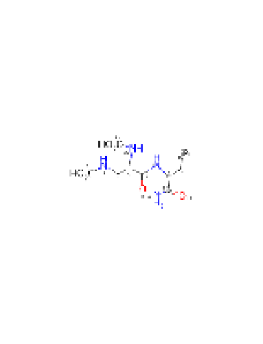 CC(C)CC(NC(=O)C(CNC(=O)O)NC(=O)O)C(N)=O